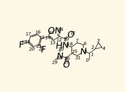 CC(C1CC1)N1CCC(NC(=O)c2cc(-c3ccc(F)cc3F)on2)C(C(=O)N(C)C)C1